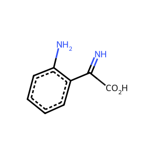 N=C(C(=O)O)c1ccccc1N